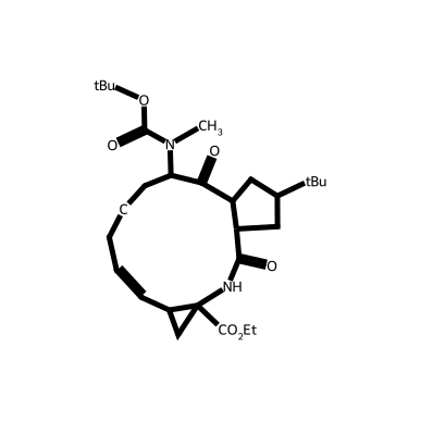 CCOC(=O)C12CC1/C=C\CCCC(N(C)C(=O)OC(C)(C)C)C(=O)C1CC(C(C)(C)C)CC1C(=O)N2